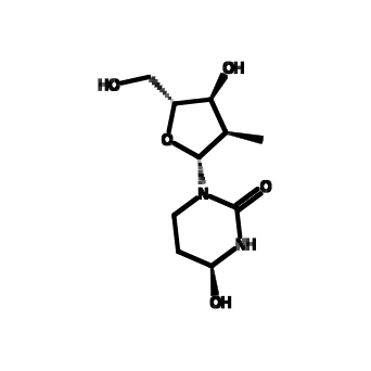 C[C@@H]1[C@H](O)[C@@H](CO)O[C@H]1N1CC[C@H](O)NC1=O